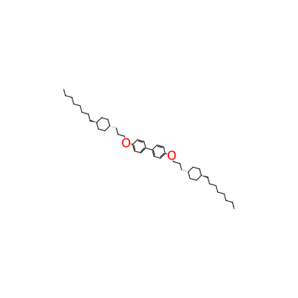 CCCCCCCC[C@H]1CC[C@H](CCCOc2ccc(-c3ccc(OCCC[C@H]4CC[C@H](CCCCCCCC)CC4)cc3)cc2)CC1